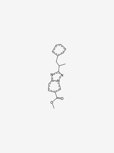 COC(=O)c1ccc2nc(C(C)Cc3ccccc3)nn2c1